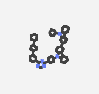 c1ccc(-c2ccc(-c3cccc(-c4ncnc(-c5ccc(-n6c7ccccc7c7cc(-c8ccc9c%10ccccc%10n(-c%10ccccc%10)c9c8)ccc76)cc5)n4)c3)cc2)cc1